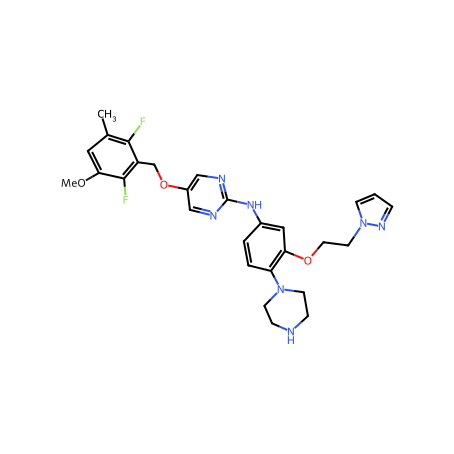 COc1cc(C)c(F)c(COc2cnc(Nc3ccc(N4CCNCC4)c(OCCn4cccn4)c3)nc2)c1F